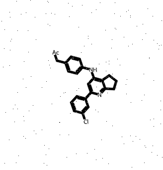 CC(=O)Cc1ccc(Nc2cc(-c3cccc(Cl)c3)nc3c2CCC3)cc1